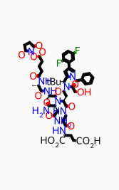 C[C@H](NC(=O)CCCC(=O)ON1C(=O)CCC1=O)C(=O)N[C@H](C)C(=O)N([C@@H](CC(N)=O)C(N)=O)[C@@H](CCN(C(=O)CO)[C@@H](c1cc(-c2cc(F)ccc2F)cn1Cc1ccccc1)C(C)(C)C)C(=O)NCCC(=O)N[C@H](CCC(=O)O)C(=O)O